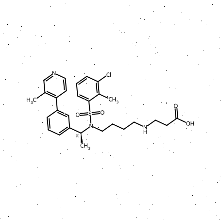 Cc1cnccc1-c1cccc([C@H](C)N(CCCCNCCC(=O)O)S(=O)(=O)c2cccc(Cl)c2C)c1